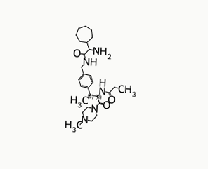 CCC(=O)N[C@@H](C(=O)N1CCN(C)CC1)[C@@H](C)c1ccc(CNC(=O)C(N)C2CCCCCC2)cc1